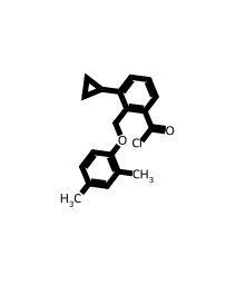 Cc1ccc(OCc2c(C(=O)Cl)cccc2C2CC2)c(C)c1